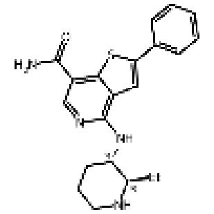 CC[C@H]1NCCC[C@@H]1Nc1ncc(C(N)=O)c2sc(-c3ccccc3)cc12